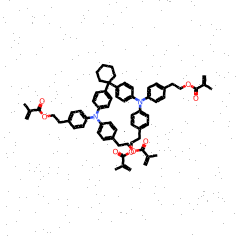 C=C(C)C(=O)OCCc1ccc(N(c2ccc(CCOC(=O)C(=C)C)cc2)c2ccc(C3(c4ccc(N(c5ccc(CCOC(=O)C(=C)C)cc5)c5ccc(CCOC(=O)C(=C)C)cc5)cc4)CCCCC3)cc2)cc1